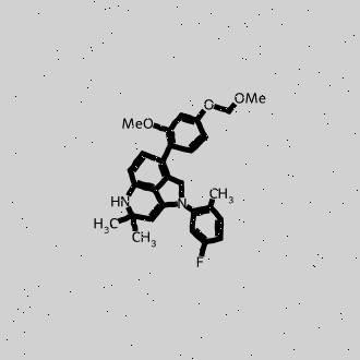 COCOc1ccc(-c2ccc3c4c2CN(c2cc(F)ccc2C)C4=CC(C)(C)N3)c(OC)c1